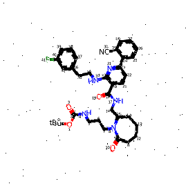 CC(C)(C)OC(=O)NCCCN1C(=O)CCCCC1CNC(=O)c1ccc(-c2ccccc2C#N)nc1NCCc1cccc(F)c1